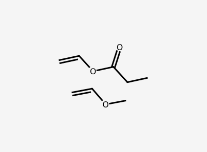 C=COC.C=COC(=O)CC